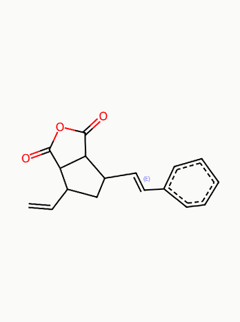 C=CC1CC(/C=C/c2ccccc2)C2C(=O)OC(=O)C12